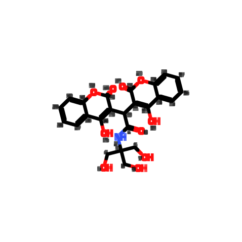 O=C(NC(CO)(CO)CO)C(c1c(O)c2ccccc2oc1=O)c1c(O)c2ccccc2oc1=O